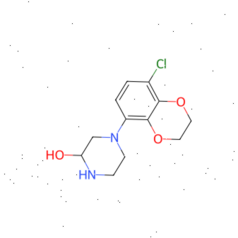 OC1CN(c2ccc(Cl)c3c2OCCO3)CCN1